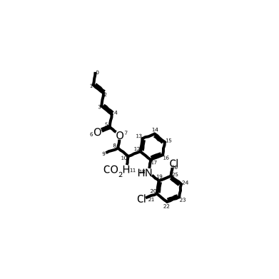 CC=CC=CC(=O)OC(C)C(C(=O)O)c1ccccc1Nc1c(Cl)cccc1Cl